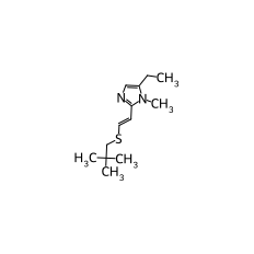 CCc1cnc(C=CSCC(C)(C)C)n1C